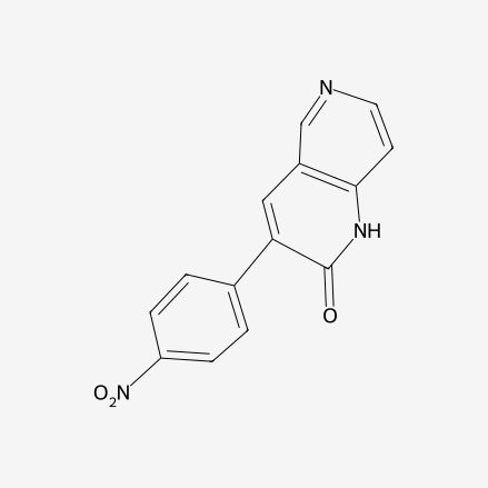 O=c1[nH]c2ccncc2cc1-c1ccc([N+](=O)[O-])cc1